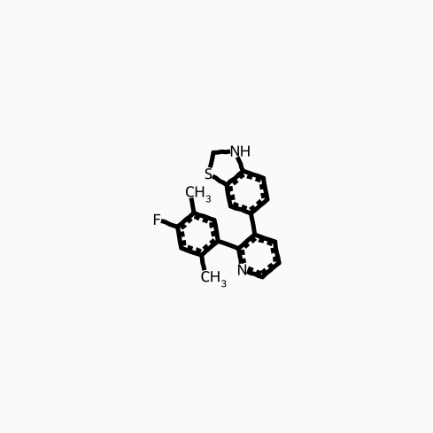 Cc1cc(-c2ncccc2-c2ccc3c(c2)SCN3)c(C)cc1F